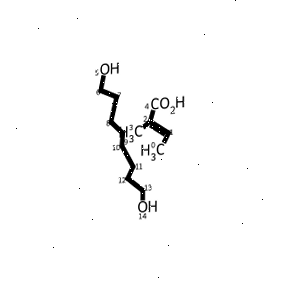 CC=C(C)C(=O)O.OCCCCCCCCO